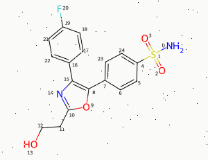 NS(=O)(=O)c1ccc(-c2oc(CCO)nc2-c2ccc(F)cc2)cc1